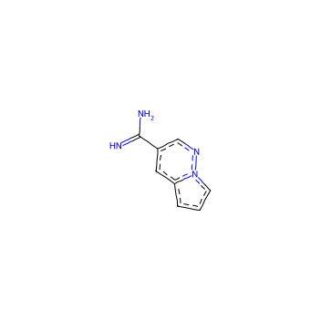 N=C(N)c1cnn2cccc2c1